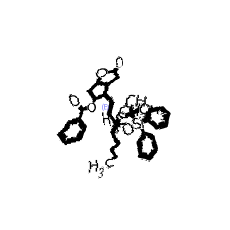 CCCCCC(C)(/C=C/C1C(OC(=O)c2ccccc2)CC2OC(=O)CC21)O[Si](c1ccccc1)(c1ccccc1)C(C)(C)C